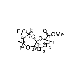 COC(=O)C(F)(OC1(F)OC(F)(C(F)(F)F)CC(F)(F)OC1(F)C(F)(F)F)C(F)(F)F